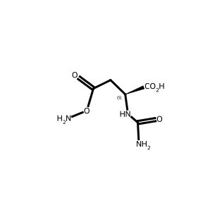 NOC(=O)C[C@H](NC(N)=O)C(=O)O